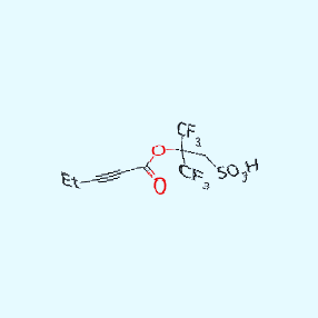 CCC#CC(=O)OC(CS(=O)(=O)O)(C(F)(F)F)C(F)(F)F